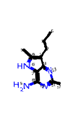 CCCc1c(C)[nH]c2c(N)nc(C)nc12